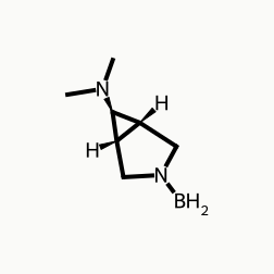 BN1C[C@@H]2[C@H](C1)[C@H]2N(C)C